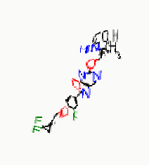 C[C@@H](COc1ncc2nc(-c3ccc(OC[C@H]4CC4(F)F)c(F)c3)oc2n1)NC(=O)O